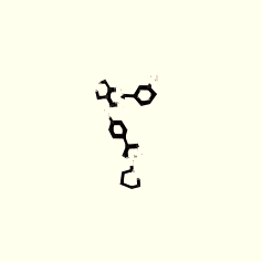 Nc1cccc(-c2nc3c(c(Nc4ccc(-c5cnn(C6CCCCO6)c5)cc4)n2)COC3)c1